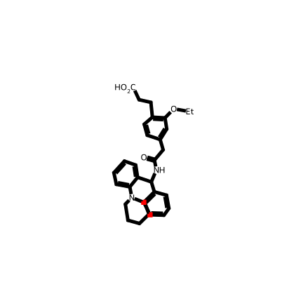 CCOc1cc(CC(=O)NC(c2ccccc2)c2ccccc2N2CCCCC2)ccc1CCC(=O)O